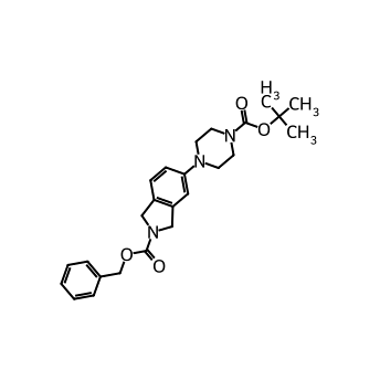 CC(C)(C)OC(=O)N1CCN(c2ccc3c(c2)CN(C(=O)OCc2ccccc2)C3)CC1